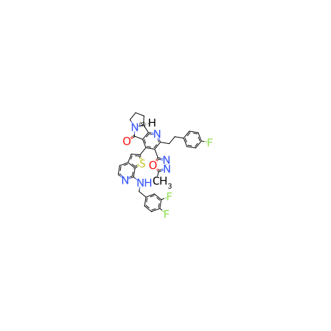 Cc1nnc(-c2c(CCc3ccc(F)cc3)nc3c(c2-c2cc4ccnc(NCc5ccc(F)c(F)c5)c4s2)C(=O)N2CCC[C@@H]32)o1